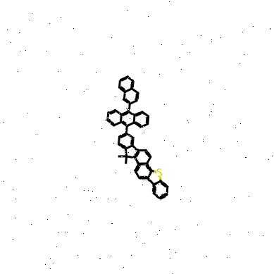 CC1(C)c2ccc(-c3c4ccccc4c(-c4ccc5ccccc5c4)c4ccccc34)cc2-c2ccc3c(ccc4c5ccccc5sc34)c21